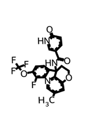 Cc1cnc2c(c1)OCCC2(NC(=O)c1ccc(=O)[nH]c1)c1ccc(OC(F)(F)F)c(F)c1